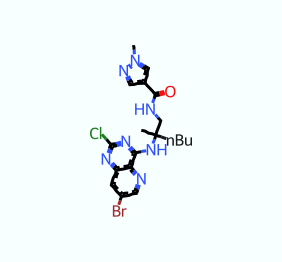 CCCCC(C)(CNC(=O)c1cnn(C)c1)Nc1nc(Cl)nc2cc(Br)cnc12